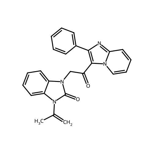 C=C(C)n1c(=O)n(CC(=O)c2c(-c3ccccc3)nc3ccccn23)c2ccccc21